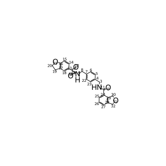 O=C(NCc1ccc(CNS(=O)(=O)c2ccc3c(c2)CCO3)cc1)c1cccc2c1COC2